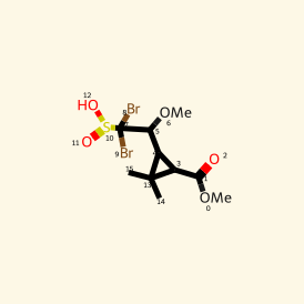 COC(=O)C1C(C(OC)C(Br)(Br)S(=O)O)C1(C)C